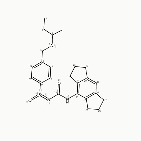 CCC(C)NCc1ccc(/[SH](=O)=N\C(=O)Nc2c3c(cc4c2CCC4)CCC3)cc1